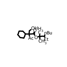 CCCCC(CC)C(C)(C)OC(=O)C(CO)(C(C)=O)C1CCCCC1